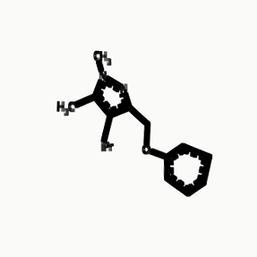 Cc1c(C(C)C)c(COc2ccccc2)nn1C